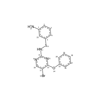 Nc1cccc(SNc2ncc(Br)c(Oc3ccccc3)n2)c1